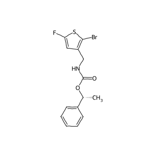 C[C@@H](OC(=O)NCc1cc(F)sc1Br)c1ccccc1